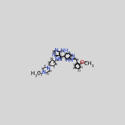 CCN1CCN([C@H]2CC[C@H](n3nc(-c4ccc5nc(Cc6ccccc6OC)[nH]c5c4)c4c(N)ncnc43)CC2)CC1